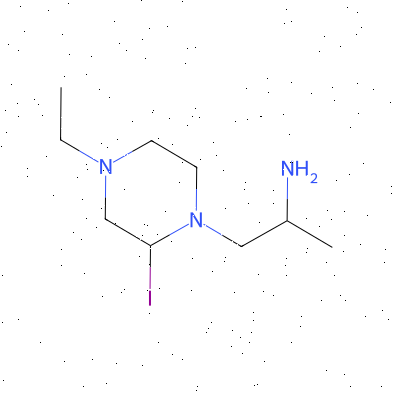 CCN1CCN(CC(C)N)C(I)C1